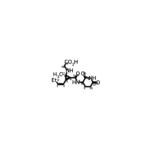 CC/C=C\C1=C(C(=O)NC2CCC(=O)NC2=O)[C@]1(C)NCC(=O)O